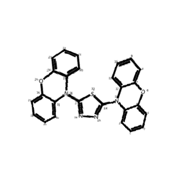 c1ccc2c(c1)Oc1ccccc1N2c1nnc(N2c3ccccc3Oc3ccccc32)s1